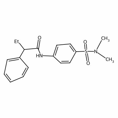 CCC(C(=O)Nc1ccc(S(=O)(=O)N(C)C)cc1)c1ccccc1